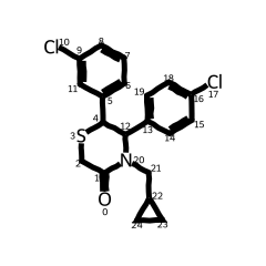 O=C1CSC(c2cccc(Cl)c2)C(c2ccc(Cl)cc2)N1CC1CC1